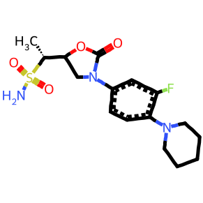 C[C@H](C1CN(c2ccc(N3CCCCC3)c(F)c2)C(=O)O1)S(N)(=O)=O